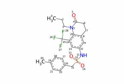 CCCN1C(=O)CCc2cc(NS(=O)(=O)Cc3ccc(C)cc3)cc(C(F)(F)F)c21